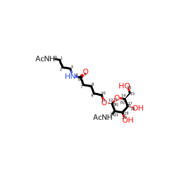 CC(=O)NCCCNC(=O)CCCCO[C@@H]1O[C@@H](CO)[C@H](O)C(O)C1NC(C)=O